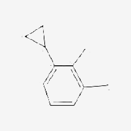 Cc1c[c]cc(C2CC2)c1C